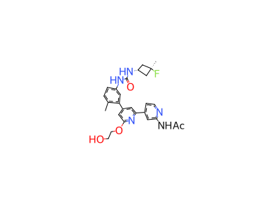 CC(=O)Nc1cc(-c2cc(-c3cc(NC(=O)N[C@H]4C[C@](C)(F)C4)ccc3C)cc(OCCO)n2)ccn1